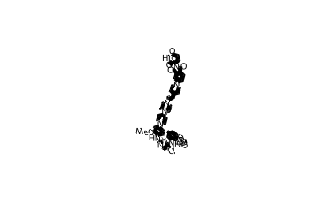 COc1cc(N2CCC(N3CCN(CCC4CCN(c5ccc6c(c5)C(=O)N(C5CCC(=O)NC5=O)C6=O)CC4)CC3)CC2)ccc1Nc1ncc(Cl)c(Nc2ccccc2N(C)S(C)(=O)=O)n1